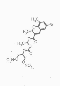 Cc1cc(Br)cc2c1OC(C(F)(F)F)C(C(=O)OC(C)OC(=O)OC(CO[N+](=O)[O-])CO[N+](=O)[O-])=C2